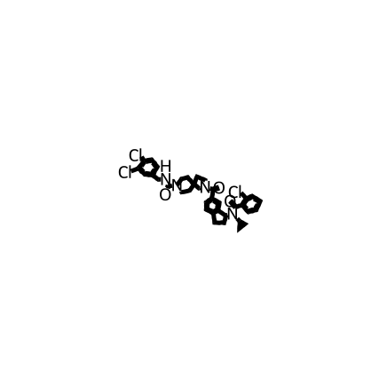 O=C(NCc1ccc(Cl)c(Cl)c1)N1CCC2(CC1)CCN(C(=O)c1ccc3c(c1)C(N(C(=O)c1ccccc1Cl)C1CC1)CC3)C2